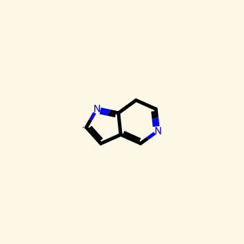 [C]1=CC2=CN=CCC2=N1